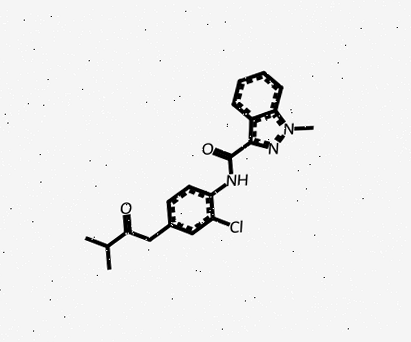 CC(C)C(=O)Cc1ccc(NC(=O)c2nn(C)c3ccccc23)c(Cl)c1